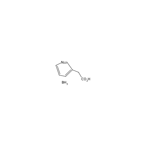 B.O=C(O)Cc1cccnc1